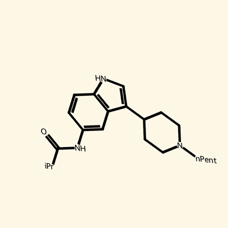 CCCCCN1CCC(c2c[nH]c3ccc(NC(=O)C(C)C)cc23)CC1